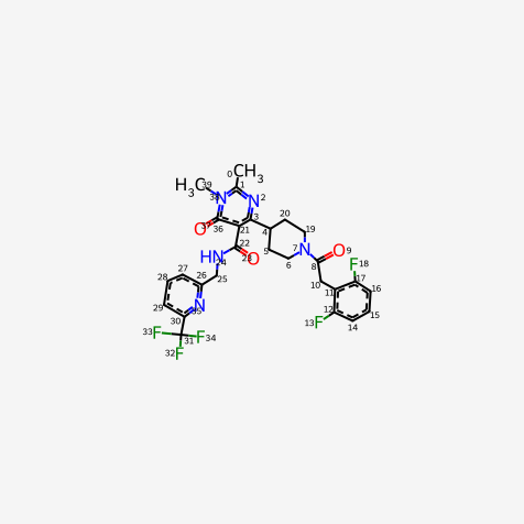 Cc1nc(C2CCN(C(=O)Cc3c(F)cccc3F)CC2)c(C(=O)NCc2cccc(C(F)(F)F)n2)c(=O)n1C